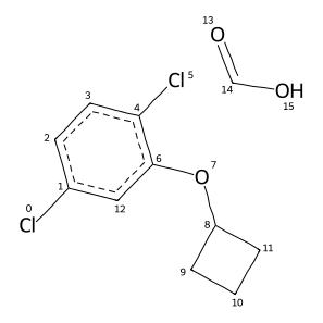 Clc1ccc(Cl)c(OC2CCC2)c1.O=CO